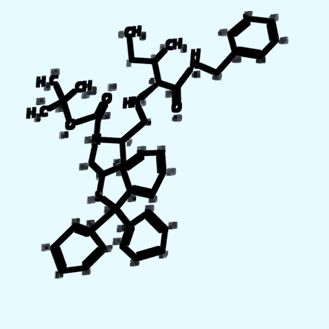 CCC(C)[C@H](NCC1CC(SC(c2ccccc2)(c2ccccc2)c2ccccc2)CN1C(=O)OC(C)(C)C)C(=O)NCc1ccccc1